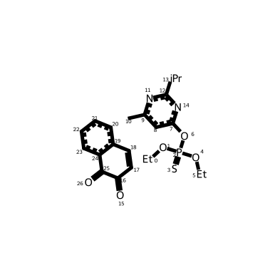 CCOP(=S)(OCC)Oc1cc(C)nc(C(C)C)n1.O=C1C=Cc2ccccc2C1=O